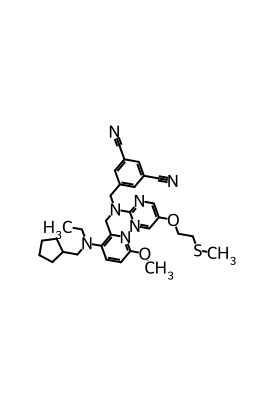 CCN(CC1CCCC1)c1ccc(OC)nc1CN(Cc1cc(C#N)cc(C#N)c1)c1ncc(OCCSC)cn1